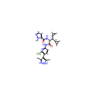 Cc1n[nH]c(C)c1-c1ccc(NC(=O)[C@@H](NC(=O)c2ccnn2C)C(C2CC2)C2CC2)nc1Cl